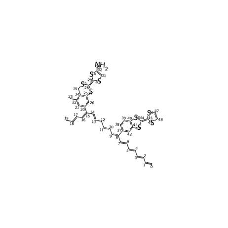 C=C/C=C/C=C/C=C/C(=C/C=C/C/C=C/C(=C/C=C/C)c1cc(C)c2c(c1)S/C(=C1\SC=C(N)S1)SC2)c1ccc2c(c1)SC(=C1SC=CS1)S2